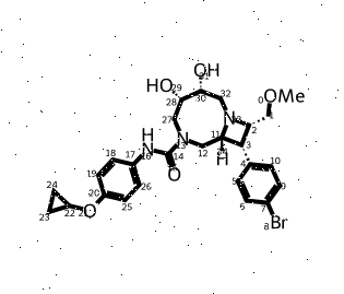 COC[C@@H]1[C@H](c2ccc(Br)cc2)[C@@H]2CN(C(=O)Nc3ccc(OC4CC4)cc3)C[C@H](O)[C@H](O)CN12